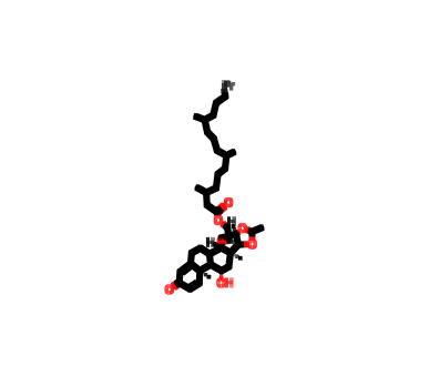 CC(C)CCCC(C)CCCC(C)CCCC(C)CC(=O)OCC(=O)[C@@]12OC(C)O[C@@H]1C[C@H]1C3CCC4=CC(=O)C=C[C@]4(C)C3[C@@H](O)C[C@@]12C